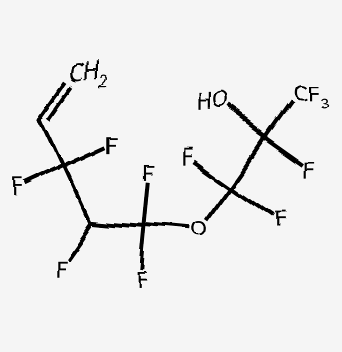 C=CC(F)(F)C(F)C(F)(F)OC(F)(F)C(O)(F)C(F)(F)F